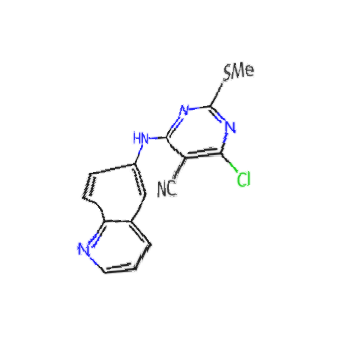 CSc1nc(Cl)c(C#N)c(Nc2ccc3ncccc3c2)n1